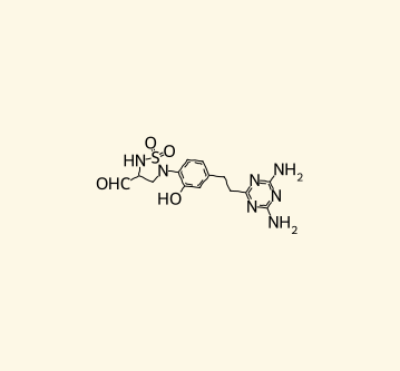 Nc1nc(N)nc(CCc2ccc(N3CC(C=O)NS3(=O)=O)c(O)c2)n1